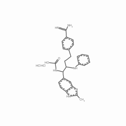 Cc1nc2cc(C(NC(=O)O)C(CCc3ccc(C(=N)N)cc3)Nc3ccccc3)ccc2[nH]1.Cl.Cl